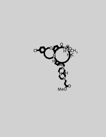 COC(=O)CCN1CCN2CCN(C[C@@]3(O)CCC[C@H](C)[C@@H](C)S(=O)(=O)NC(=O)c4ccc5c(c4)N(CCCCc4cc(Cl)ccc4CO5)C[C@@H]4CC[C@H]43)C[C@H]2C1